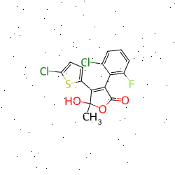 CC1(O)OC(=O)C(c2c(F)cccc2Cl)=C1c1ccc(Cl)s1